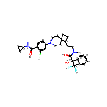 CN(CCC1CCC12CCN(c1ccc(C(=O)NC3CC3)c(Cl)c1)CC2)C(=O)[C@]1(O)c2ccccc2C1(F)F